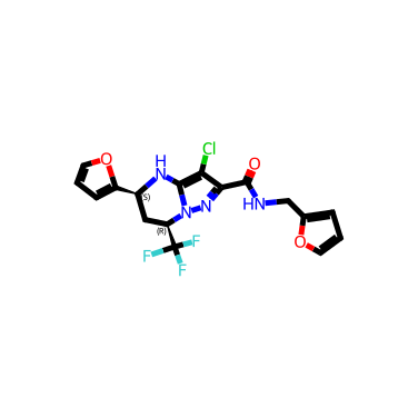 O=C(NCc1ccco1)c1nn2c(c1Cl)N[C@H](c1ccco1)C[C@@H]2C(F)(F)F